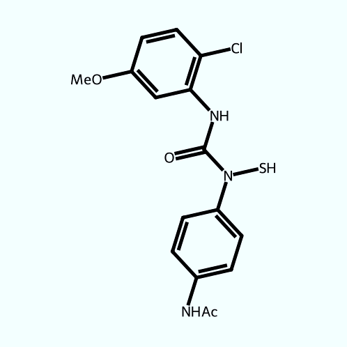 COc1ccc(Cl)c(NC(=O)N(S)c2ccc(NC(C)=O)cc2)c1